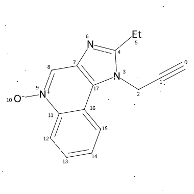 C#CCn1c(CC)nc2c[n+]([O-])c3ccccc3c21